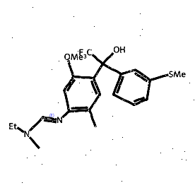 CCN(C)/C=N/c1cc(OC)c(C(O)(c2cccc(SC)c2)C(F)(F)F)cc1C